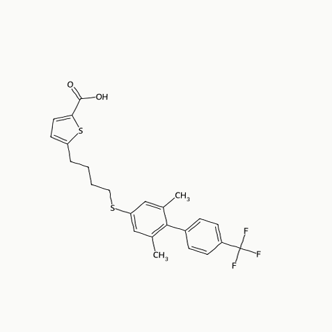 Cc1cc(SCCCCc2ccc(C(=O)O)s2)cc(C)c1-c1ccc(C(F)(F)F)cc1